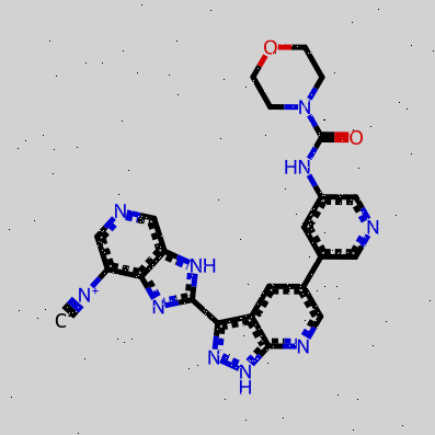 [C-]#[N+]c1cncc2[nH]c(-c3n[nH]c4ncc(-c5cncc(NC(=O)N6CCOCC6)c5)cc34)nc12